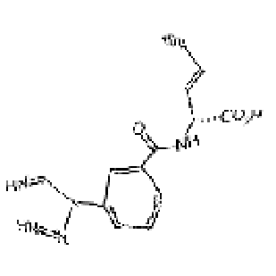 CC(C)(C)/C=C/[C@@H](NC(=O)c1cccc(N(C=N)N=N)c1)C(=O)O